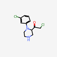 O=C(CCl)C1CNCCN1c1cccc(Cl)c1